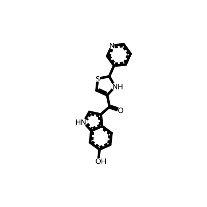 O=C(C1=CSC(c2cccnc2)N1)c1c[nH]c2cc(O)ccc12